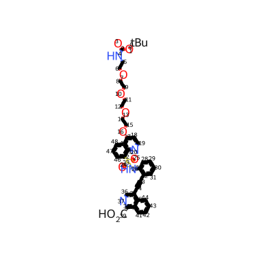 CC(C)(C)OC(=O)NCCOCCOCCOCCOc1ccnc2c(S(=O)(=O)Nc3ccccc3C#Cc3cnc(C(=O)O)c4ccccc34)cccc12